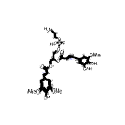 COc1cc(/C=C/C(=O)OCC(COP(=O)(O)OCCN)OC(=O)/C=C/c2cc(OC)c(O)c(OC)c2)cc(OC)c1O